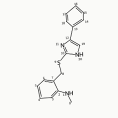 CNc1ccccc1CSc1nc(-c2ccccc2)c[nH]1